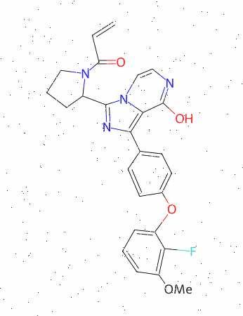 C=CC(=O)N1CCCC1c1nc(-c2ccc(Oc3cccc(OC)c3F)cc2)c2c(O)nccn12